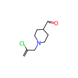 C=C(Cl)CN1CCC(C=O)CC1